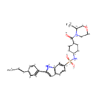 COCCc1ccc(-c2cc3ccc(S(=O)(=O)NC4CCC(C(=O)N5CCOCC5C)CC4)cc3[nH]2)cc1